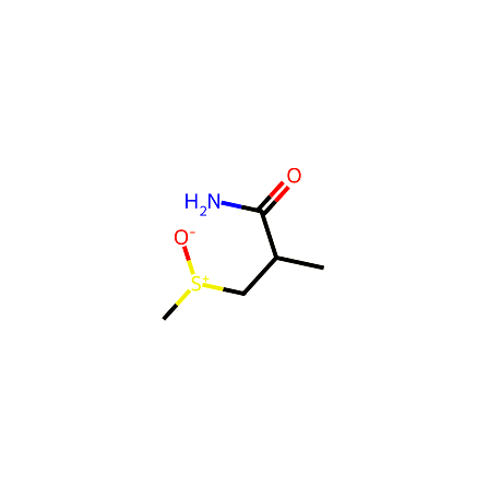 CC(C[S+](C)[O-])C(N)=O